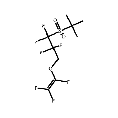 CC(C)(C)S(=O)(=O)C(F)(F)C(F)(F)COC(F)=C(F)F